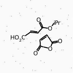 CC(C)OC(=O)C=CC(=O)O.O=C1C=CC(=O)O1